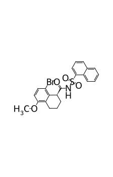 COc1ccc(Br)c2c1CCC[C@@H]2C(=O)NS(=O)(=O)c1cccc2ccccc12